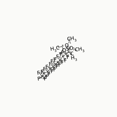 CCO[Si](OCC)(OCC)C(C)C(F)(F)C(F)(F)C(F)(F)C(F)(F)C(F)(F)C(F)(F)C(F)(F)C(F)(F)C(F)(F)C(F)(F)F